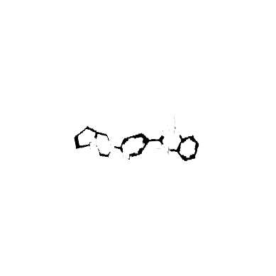 Nc1ccccc1NC(=O)c1ccc(N2CCN3CCCC3C2)nc1